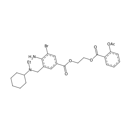 CCN(Cc1cc(C(=O)OCCOC(=O)c2ccccc2OC(C)=O)cc(Br)c1N)C1CCCCC1